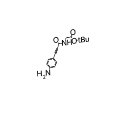 CC(C)(C)OC(=O)CNC(=O)C#Cc1ccc(N)cc1